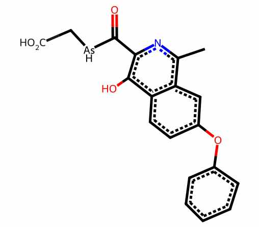 Cc1nc(C(=O)[AsH]CC(=O)O)c(O)c2ccc(Oc3ccccc3)cc12